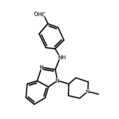 CN1CCC(n2c(Nc3ccc(C=O)cc3)nc3ccccc32)CC1